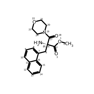 COC(=O)[C@@](N)(Cc1cccc2ccccc12)C(=O)N1CCOCC1